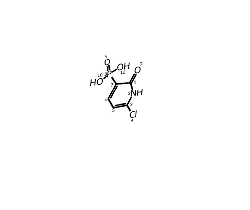 O=c1[nH]c(Cl)ccc1P(=O)(O)O